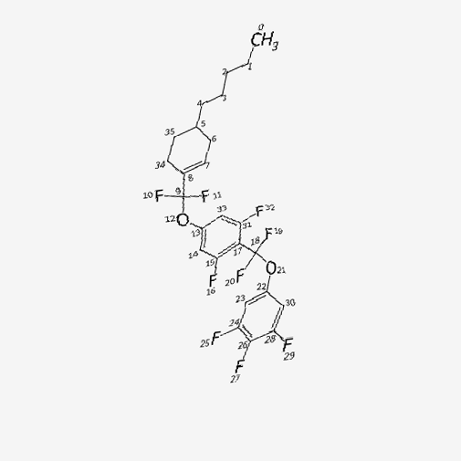 CCCCCC1CC=C(C(F)(F)Oc2cc(F)c(C(F)(F)Oc3cc(F)c(F)c(F)c3)c(F)c2)CC1